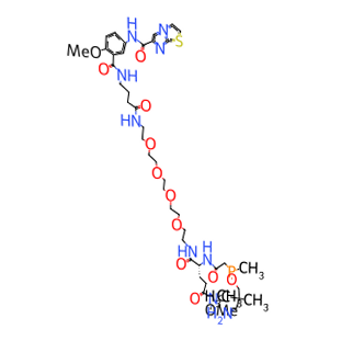 COc1ccc(NC(=O)c2cn3ccsc3n2)cc1C(=O)NCCCC(=O)NCCOCCOCCOCCOCCNC(=O)[C@@H](CCC(=O)N(C)OC)NC(=O)CP(C)OCC(C)(C)CN